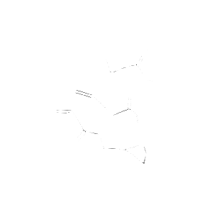 C=CC(=O)OCC1CO1.C=COC(C)=O.O=C(O)CF